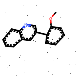 COc1ccccc1-c1cnc2ccccc2c1